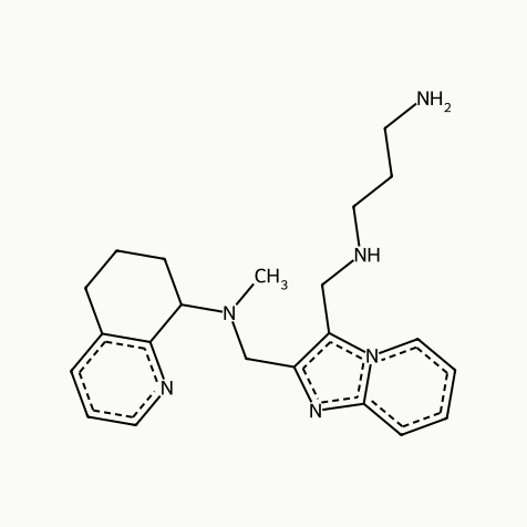 CN(Cc1nc2ccccn2c1CNCCCN)C1CCCc2cccnc21